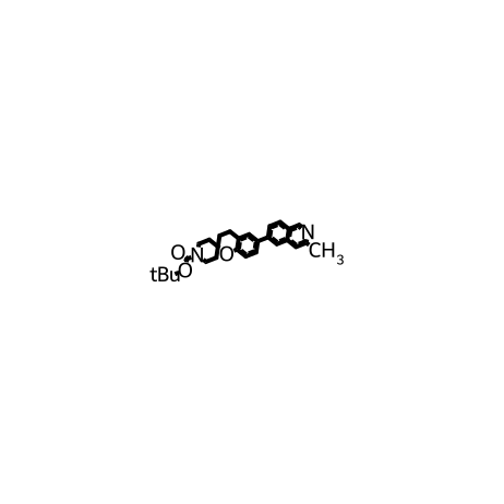 Cc1cc2cc(-c3ccc4c(c3)CCC3(CCN(C(=O)OC(C)(C)C)CC3)O4)ccc2cn1